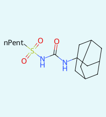 CCCCCS(=O)(=O)NC(=O)NC12CC3CC(CC(C3)C1)C2